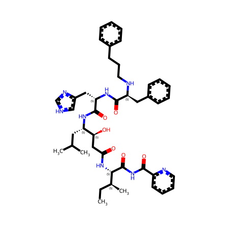 CC[C@H](C)[C@H](NC(=O)C[C@H](O)[C@H](CC(C)C)NC(=O)[C@H](Cc1c[nH]cn1)NC(=O)[C@H](Cc1ccccc1)NCCCc1ccccc1)C(=O)NC(=O)c1ccccn1